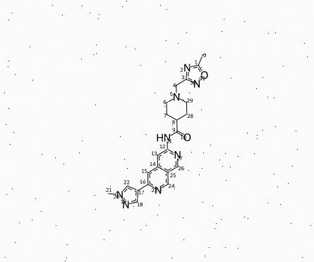 Cc1nc(CN2CCC(C(=O)Nc3cc4cc(-c5cnn(C)c5)ncc4cn3)CC2)no1